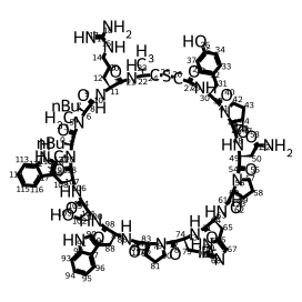 CCCC[C@H]1C(=O)N(C)[C@@H](CCCC)C(=O)N[C@@H](CCCNC(=N)N)C(=O)N[C@H](C)CSCC(=O)N[C@@H](Cc2ccc(O)cc2)C(=O)N2CCC[C@H]2C(=O)N[C@@H](CC(N)=O)C(=O)N2CCC[C@H]2C(=O)N[C@@H](Cc2cnc[nH]2)C(=O)N[C@@H](CC(C)C)C(=O)N2CCC[C@H]2C(=O)N[C@@H](Cc2c[nH]c3ccccc23)C(=O)N[C@@H](CO)C(=O)N[C@@H](Cc2c[nH]c3ccccc23)C(=O)N1C